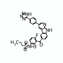 CCCS(=O)(=O)Nc1ccc(F)c(C(=O)c2ccc3[nH]c4ncc(-c5ccc(-c6nnn[nH]6)cc5)cc4c3c2)c1F